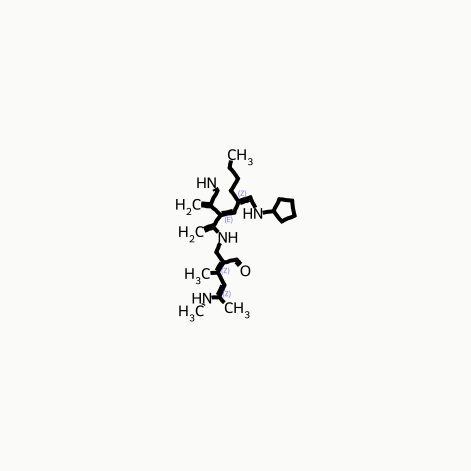 C=C(C=N)/C(=C\C(=C/NC1CCCC1)CCCC)C(=C)NC/C(C=O)=C(C)/C=C(/C)NC